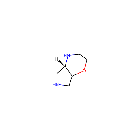 C1COC2CNC[C@@H]2N1